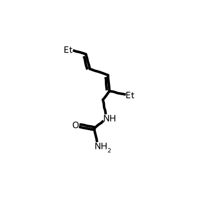 CCC=CC=C(CC)CNC(N)=O